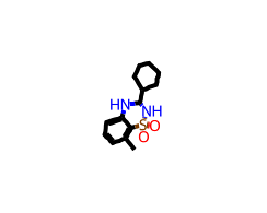 Cc1cccc2c1S(=O)(=O)NC(C1CCCCC1)N2